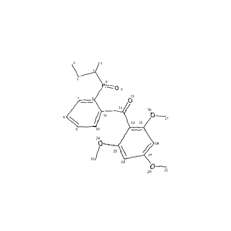 CCC(C)[P](=O)c1ccccc1C(=O)c1c(OC)cc(OC)cc1OC